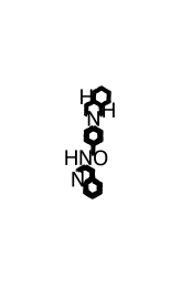 O=C(Nc1cnc2ccccc2c1)c1ccc(N2CC[C@H]3CCCC[C@@H]3C2)cc1